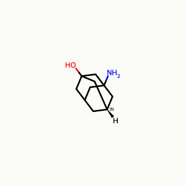 NC12CC3C[C@@H](C1)CC(O)(C3)C2